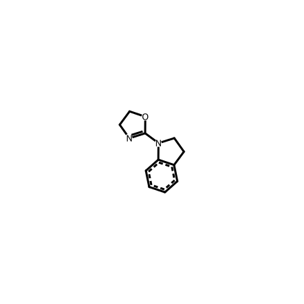 c1ccc2c(c1)CCN2C1=NCCO1